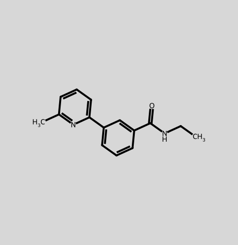 CCNC(=O)c1cccc(-c2cccc(C)n2)c1